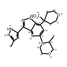 Cc1cc(-c2nsc3c(C4(C(=O)O)CCOCC4)cc(N4CCOCC4C)nc23)[nH]n1